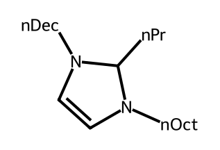 CCCCCCCCCCN1C=CN(CCCCCCCC)C1CCC